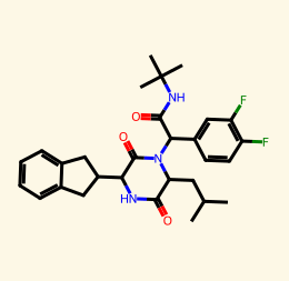 CC(C)CC1C(=O)NC(C2Cc3ccccc3C2)C(=O)N1C(C(=O)NC(C)(C)C)c1ccc(F)c(F)c1